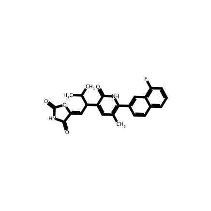 Cc1cc(C(/C=C2\OC(=O)NC2=O)C(C)C)c(=O)[nH]c1-c1ccc2cccc(F)c2c1